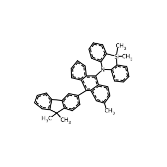 Cc1ccc2c(N3c4ccccc4[Si](C)(C)c4ccccc43)c3ccccc3c(-c3ccc4c(c3)-c3ccccc3C4(C)C)c2c1